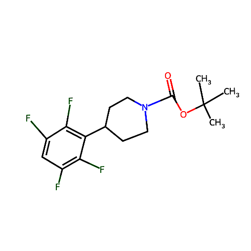 CC(C)(C)OC(=O)N1CCC(c2c(F)c(F)cc(F)c2F)CC1